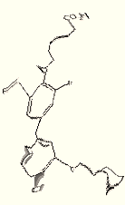 O=C(O)CCCOc1c(F)cc(-c2ccc(Cl)c(OCC3CC3)c2)cc1F